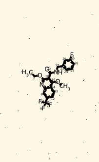 CCOc1nc2cc(C(F)(F)F)ccc2c(OC)c1C(=O)NCc1cccc(F)c1